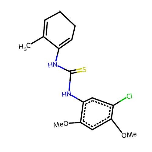 COc1cc(OC)c(NC(=S)NC2=CC[CH]C=C2C)cc1Cl